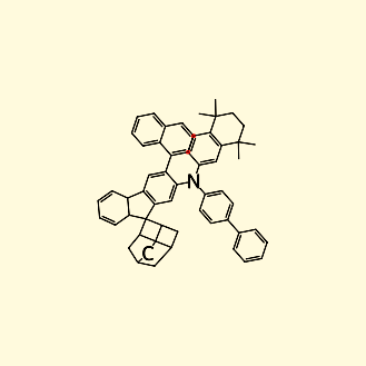 CC1(C)CCC(C)(C)c2cc(N(c3ccc(-c4ccccc4)cc3)c3cc4c(cc3-c3cccc5ccccc35)C3C=CC=CC3C43C4CC5CC6CC3C64C5)ccc21